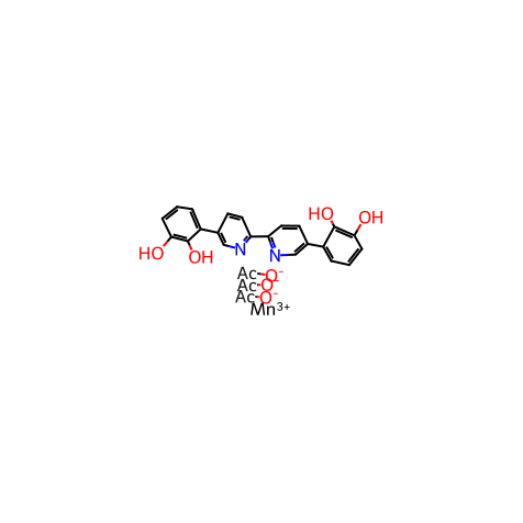 CC(=O)[O-].CC(=O)[O-].CC(=O)[O-].Oc1cccc(-c2ccc(-c3ccc(-c4cccc(O)c4O)cn3)nc2)c1O.[Mn+3]